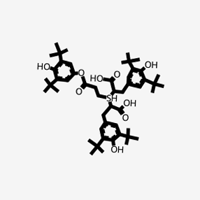 CC(C)(C)c1cc(CC(C(=O)O)[SH](CCC(=O)Oc2cc(C(C)(C)C)c(O)c(C(C)(C)C)c2)C(Cc2cc(C(C)(C)C)c(O)c(C(C)(C)C)c2)C(=O)O)cc(C(C)(C)C)c1O